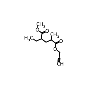 C#CCOC(=O)C(C)CC(CC)C(=O)OC